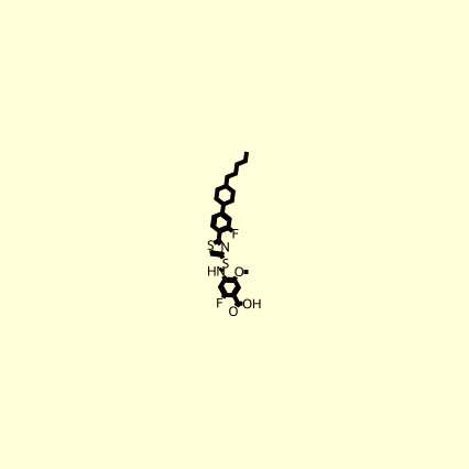 CCCCCC1CCC(c2ccc(-c3nc(SNc4cc(F)c(C(=O)O)cc4OC)cs3)c(F)c2)CC1